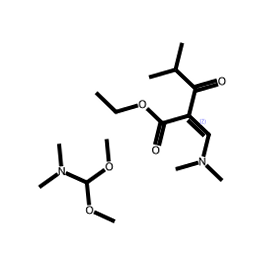 CCOC(=O)/C(=C\N(C)C)C(=O)C(C)C.COC(OC)N(C)C